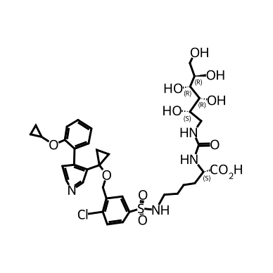 O=C(NC[C@H](O)[C@@H](O)[C@H](O)[C@H](O)CO)N[C@@H](CCCCNS(=O)(=O)c1ccc(Cl)c(COC2(c3cnccc3-c3ccccc3OC3CC3)CC2)c1)C(=O)O